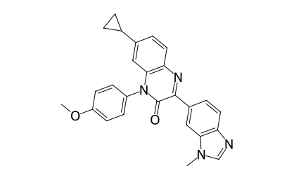 COc1ccc(-n2c(=O)c(-c3ccc4ncn(C)c4c3)nc3ccc(C4CC4)cc32)cc1